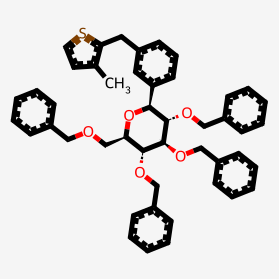 Cc1ccsc1Cc1cccc([C@@H]2O[C@H](COCc3ccccc3)[C@@H](OCc3ccccc3)[C@H](OCc3ccccc3)[C@H]2OCc2ccccc2)c1